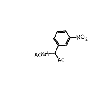 CC(=O)NC(C(C)=O)c1cccc([N+](=O)[O-])c1